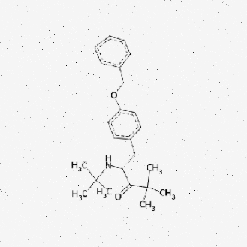 CC(C)(C)N[C@H](Cc1ccc(OCc2ccccc2)cc1)C(=O)C(C)(C)C